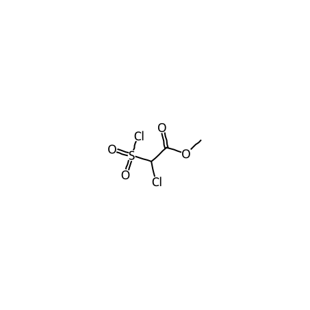 COC(=O)C(Cl)S(=O)(=O)Cl